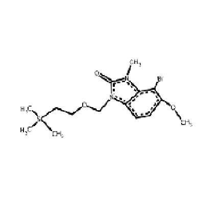 COc1ccc2c(c1Br)n(C)c(=O)n2COCC[Si](C)(C)C